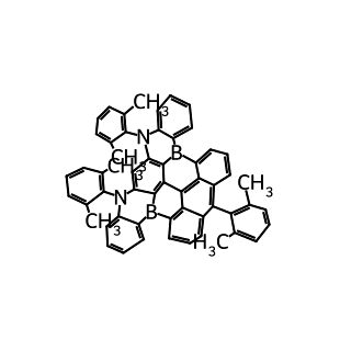 Cc1cccc(C)c1-c1c2cccc3c2c2c4c(cccc14)B1c4ccccc4N(c4c(C)cccc4C)c4cc5c(c-2c41)B3c1ccccc1N5c1c(C)cccc1C